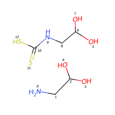 NCC(O)O.OC(O)CNC(=S)S